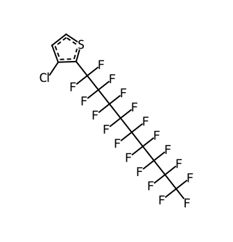 FC(F)(F)C(F)(F)C(F)(F)C(F)(F)C(F)(F)C(F)(F)C(F)(F)C(F)(F)C(F)(F)c1sccc1Cl